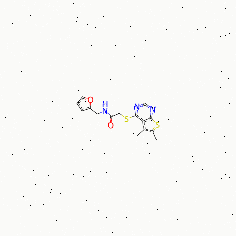 Cc1sc2ncnc(SCC(=O)NCc3ccco3)c2c1C